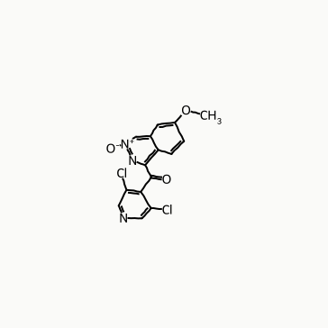 COc1ccc2c(C(=O)c3c(Cl)cncc3Cl)n[n+]([O-])cc2c1